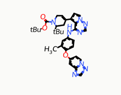 Cc1cc(Nc2ncnn3ccc(C4=CCN(C(=O)OC(C)(C)C)C(C(C)(C)C)C4)c23)ccc1Oc1ccn2ncnc2c1